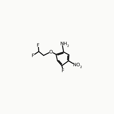 Nc1cc([N+](=O)[O-])c(F)cc1OCC(F)F